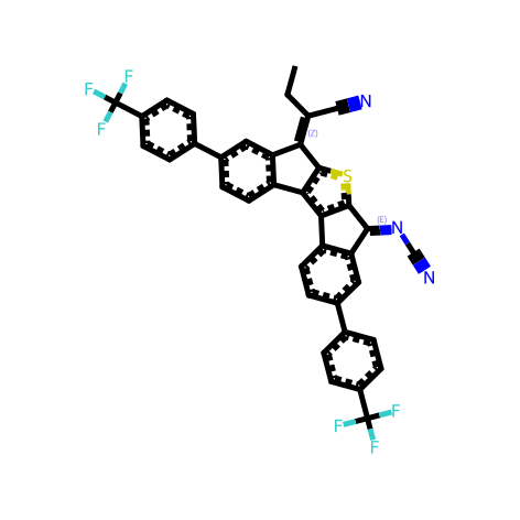 CC/C(C#N)=C1\c2cc(-c3ccc(C(F)(F)F)cc3)ccc2-c2c1sc1c2-c2ccc(-c3ccc(C(F)(F)F)cc3)cc2/C1=N\C#N